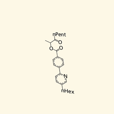 CCCCCCc1ccc(-c2ccc(C(=O)OC(C)C(=O)CCCCC)cc2)nc1